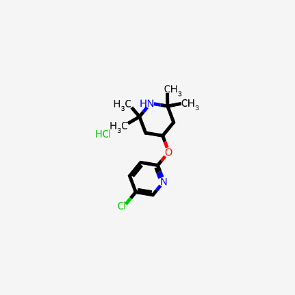 CC1(C)CC(Oc2ccc(Cl)cn2)CC(C)(C)N1.Cl